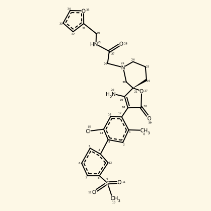 Cc1cc(-c2cccc(S(C)(=O)=O)c2)c(Cl)cc1C1=C(N)[C@@]2(CCCN(CC(=O)NCc3ccco3)C2)OC1=O